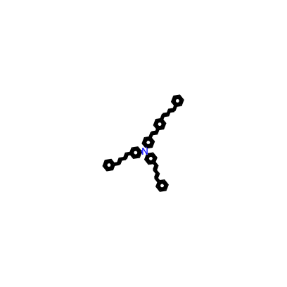 C(/C=C/c1ccc(/C=C/c2ccc(N(c3ccc(/C=C/C=C/c4ccccc4)cc3)c3ccc(/C=C/C=C/c4ccccc4)cc3)cc2)cc1)=C\c1ccccc1